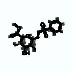 COC(=O)[C@H]1O[C@@H](CCS(=O)(=O)c2ccccc2)[C@@H](C)[C@H](O)[C@@H]1C